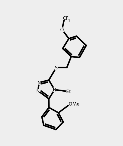 CCn1c(SCc2cccc(OC(F)(F)F)c2)nnc1-c1ccccc1OC